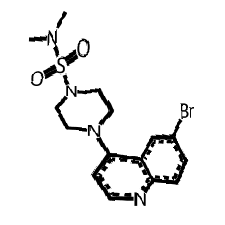 CN(C)S(=O)(=O)N1CCN(c2ccnc3ccc(Br)cc23)CC1